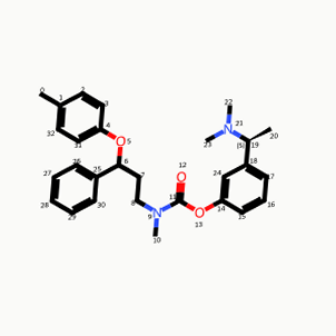 Cc1ccc(OC(CCN(C)C(=O)Oc2cccc([C@H](C)N(C)C)c2)c2ccccc2)cc1